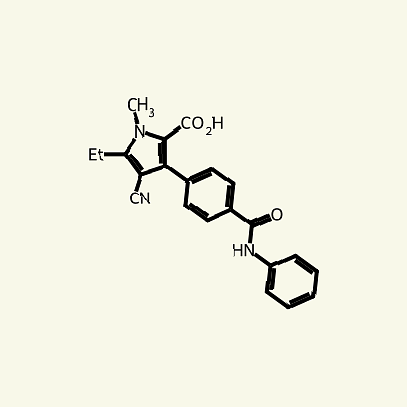 CCc1c(C#N)c(-c2ccc(C(=O)Nc3ccccc3)cc2)c(C(=O)O)n1C